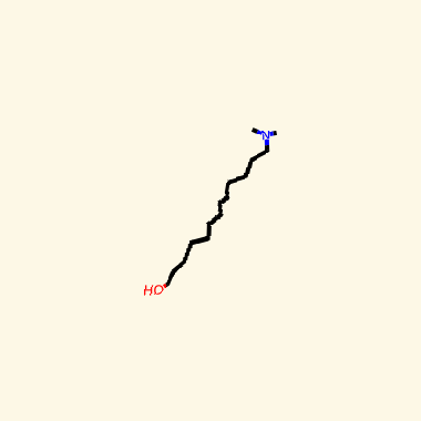 CN(C)CCCCCCCCCCCCCO